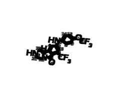 O=C1c2c(cc(Nc3ccc(OC(F)(F)F)cc3)cc2C(F)(F)F)[C@@H]2CNCCN12